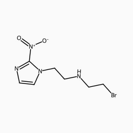 O=[N+]([O-])c1nccn1CCNCCBr